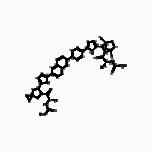 CC[C@H](NC(=O)OC)C(=O)N1CC2(CC2)CC1c1ncc(-c2ccc3cc(-c4ccc(-c5cnc([C@@H]6[C@H]7CC[C@H](C7)N6C(=O)[C@@H](NC(=O)OC)C(C)C)[nH]5)cc4)ccc3c2)[nH]1